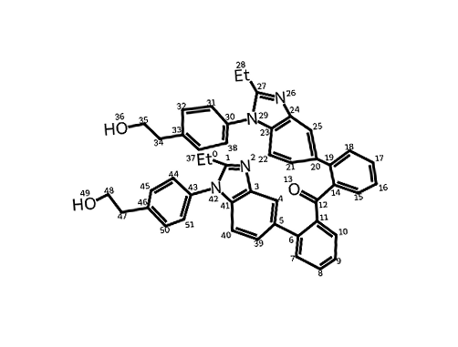 CCc1nc2cc(-c3ccccc3C(=O)c3ccccc3-c3ccc4c(c3)nc(CC)n4-c3ccc(CCO)cc3)ccc2n1-c1ccc(CCO)cc1